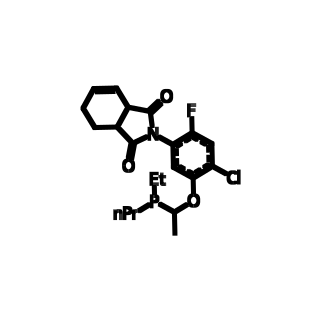 CCCP(CC)C(C)Oc1cc(N2C(=O)C3C=CCCC3C2=O)c(F)cc1Cl